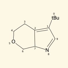 CC(C)(C)C1=C2CCOCC2N=C1